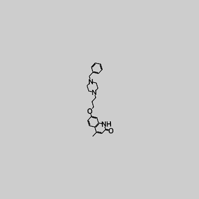 Cc1cc(=O)[nH]c2cc(OCCCN3CCN(Cc4ccccc4)CC3)ccc12